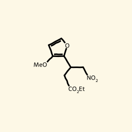 CCOC(=O)CC(C[N+](=O)[O-])c1occc1OC